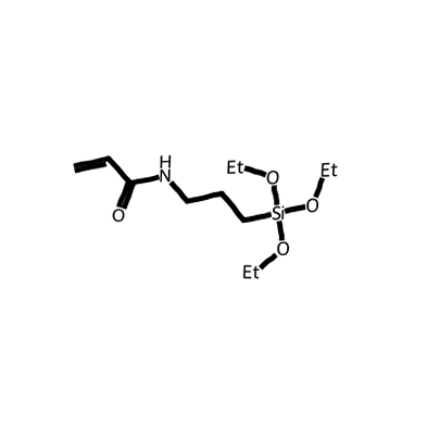 C=CC(=O)NCCC[Si](OCC)(OCC)OCC